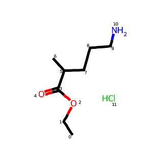 CCOC(=O)C(C)CCCN.Cl